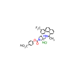 C[C@@H](NC[C@H]1CN(C(=O)Oc2ccc(C(=O)O)cc2)C[C@@H]1c1cccc(C(F)(F)F)c1)c1cccc2ccccc12.Cl